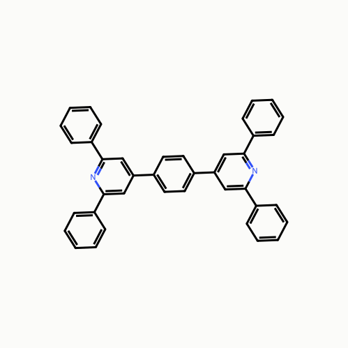 c1ccc(-c2cc(-c3ccc(-c4cc(-c5ccccc5)nc(-c5ccccc5)c4)cc3)cc(-c3ccccc3)n2)cc1